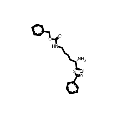 N[C@@H](CCCCNC(=O)OCc1ccccc1)c1nnc(-c2ccccc2)s1